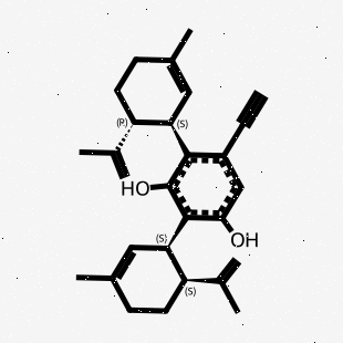 C#Cc1cc(O)c([C@@H]2C=C(C)CC[C@@H]2C(=C)C)c(O)c1[C@@H]1C=C(C)CC[C@H]1C(=C)C